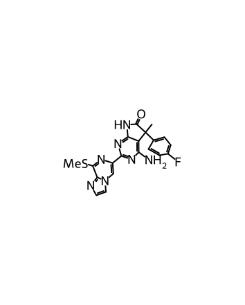 CSc1nc(-c2nc(N)c3c(n2)NC(=O)C3(C)c2ccc(F)cc2)cn2ccnc12